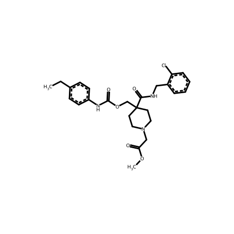 CCc1ccc(NC(=O)OCC2(C(=O)NCc3ccccc3Cl)CCN(CC(=O)OC)CC2)cc1